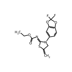 C=C1CN(c2ccc3c(c2)OC(F)(F)O3)/C(=N/C(=O)OCC)S1